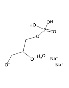 O.O=P(O)(O)OCC([O-])C[O-].[Na+].[Na+]